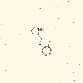 Fc1ccccc1OCC1CCCN1